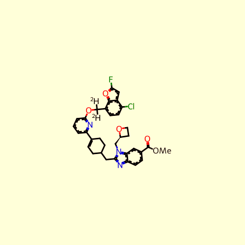 [2H]C([2H])(Oc1cccc(C2=CCC(Cc3nc4ccc(C(=O)OC)cc4n3C[C@@H]3CCO3)CC2)n1)c1ccc(Cl)c2cc(F)oc12